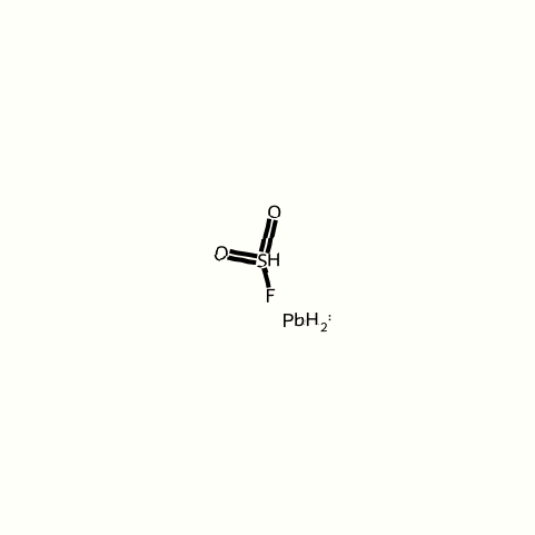 O=[SH](=O)F.[PbH2]